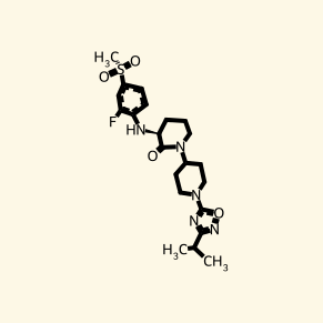 CC(C)c1noc(N2CCC(N3CCC[C@H](Nc4ccc(S(C)(=O)=O)cc4F)C3=O)CC2)n1